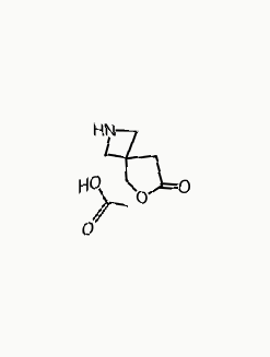 CC(=O)O.O=C1CC2(CNC2)CO1